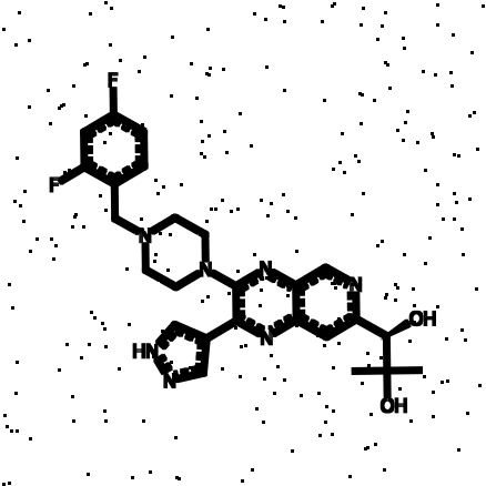 CC(C)(O)[C@H](O)c1cc2nc(-c3cn[nH]c3)c(N3CCN(Cc4ccc(F)cc4F)CC3)nc2cn1